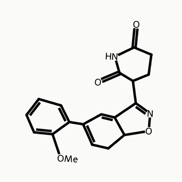 COc1ccccc1C1=CCC2ON=C(C3CCC(=O)NC3=O)C2=C1